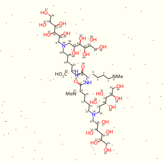 CNCCCC[C@H](NC(=O)[C@H](CCCCN(C[C@H](O)[C@@H](O)[C@H](O)[C@H](O)CO)C[C@H](O)[C@@H](O)[C@H](O)[C@H](O)CO)NC)C(=O)N[C@@H](CCCCN(C[C@H](O)[C@@H](O)[C@H](O)[C@H](O)CO)C[C@H](O)[C@@H](O)[C@H](O)[C@H](O)CO)C(=O)O